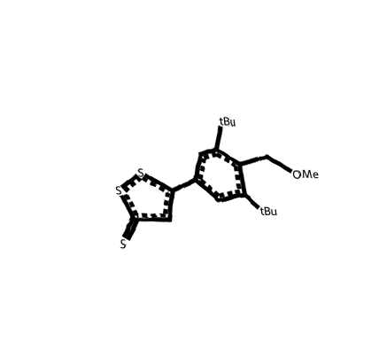 COCc1c(C(C)(C)C)cc(-c2cc(=S)ss2)cc1C(C)(C)C